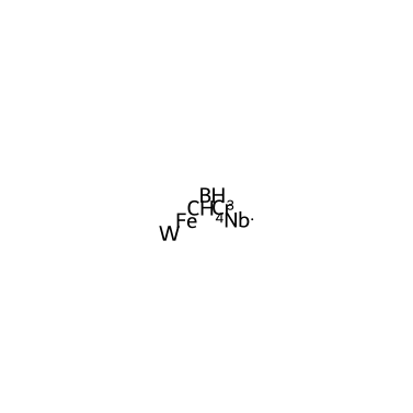 B.C.[Cr].[Fe].[Nb].[W]